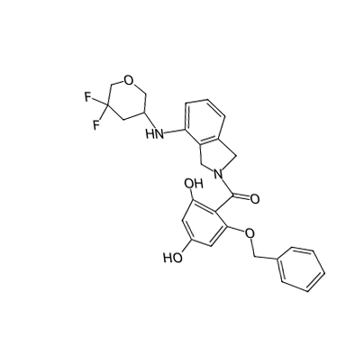 O=C(c1c(O)cc(O)cc1OCc1ccccc1)N1Cc2cccc(NC3COCC(F)(F)C3)c2C1